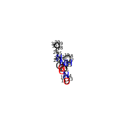 N#CC1(NC(=O)C(CC(=O)N2CCOCC2)CC2CCCCC2)CCN(CCc2ccccc2)C1